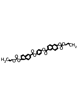 C=CCOC(=O)Oc1ccc2cc(C(=O)Oc3ccc(OC(=O)c4ccc5cc(OC(=O)OCC=C)ccc5c4)cc3)ccc2c1